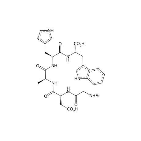 CC(=O)NCC(=O)N[C@@H](CC(=O)O)C(=O)N[C@@H](C)C(=O)N[C@@H](Cc1c[nH]cn1)C(=O)N[C@@H](Cc1c[nH]c2ccccc12)C(=O)O